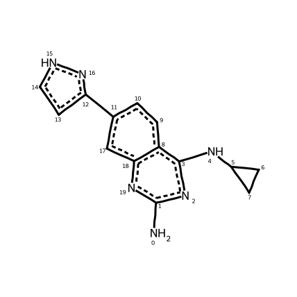 Nc1nc(NC2CC2)c2ccc(-c3cc[nH]n3)cc2n1